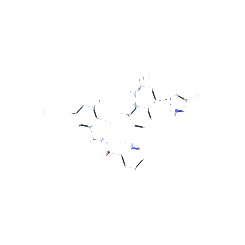 Cc1cc(Cl)c(COc2cccc3c(-n4cc(F)cn4)cc(C)nc23)c([C@H](C)NC(=O)c2ccccn2)c1